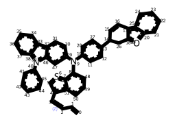 C=C/C=C\c1csc2c(N(c3ccc(C4C=Cc5c(oc6ccccc56)C4)cc3)c3ccc4c5ccccc5n(-c5ccccc5)c4c3)cccc12